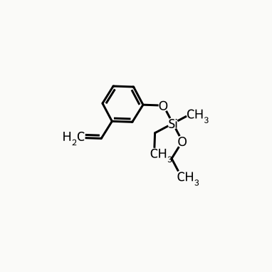 C=Cc1cccc(O[Si](C)(CC)OCC)c1